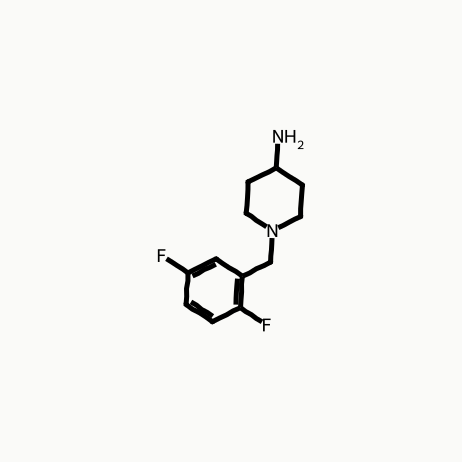 NC1CCN(Cc2cc(F)ccc2F)CC1